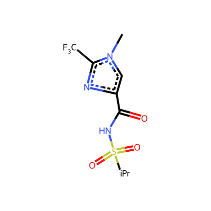 CC(C)S(=O)(=O)NC(=O)c1cn(C)c(C(F)(F)F)n1